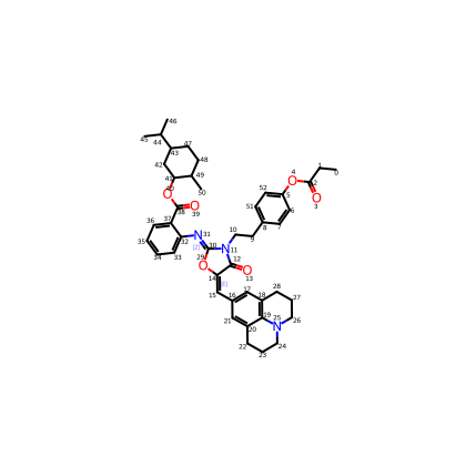 CCC(=O)Oc1ccc(CCN2C(=O)/C(=C\c3cc4c5c(c3)CCCN5CCC4)O/C2=N\c2ccccc2C(=O)OC2CC(C(C)C)CCC2C)cc1